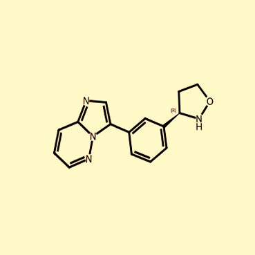 c1cc(-c2cnc3cccnn23)cc([C@H]2CCON2)c1